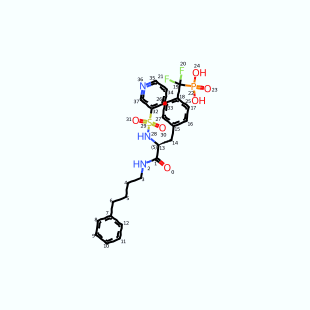 O=C(NCCCCc1ccccc1)[C@H](Cc1ccc(C(F)(F)P(=O)(O)O)cc1)NS(=O)(=O)c1cccnc1